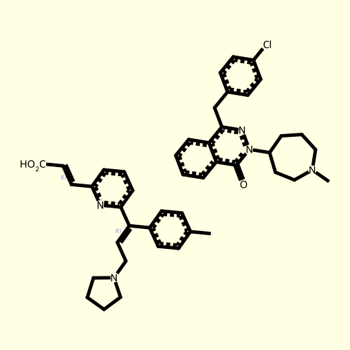 CN1CCCC(n2nc(Cc3ccc(Cl)cc3)c3ccccc3c2=O)CC1.Cc1ccc(/C(=C\CN2CCCC2)c2cccc(/C=C/C(=O)O)n2)cc1